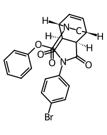 O=C1[C@@H]2[C@H](C(=O)N1c1ccc(Br)cc1)[C@H]1C=C[C@@H]2N(C(=O)Oc2ccccc2)C1